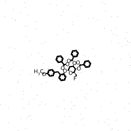 COc1ccc(Cc2ccccc2O[C@H]2O[C@H](CF)[C@@H](OC(=O)c3ccccc3)[C@H](OC(=O)c3ccccc3)[C@H]2OC(=O)c2ccccc2)cc1